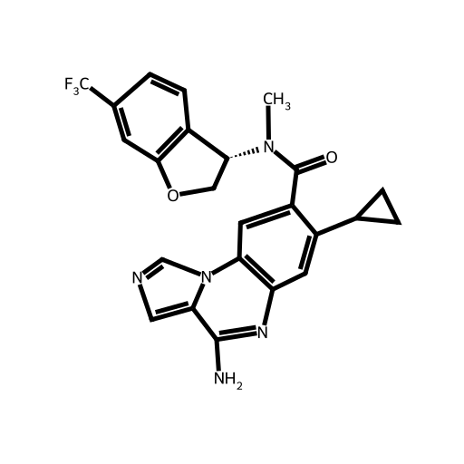 CN(C(=O)c1cc2c(cc1C1CC1)nc(N)c1cncn12)[C@@H]1COc2cc(C(F)(F)F)ccc21